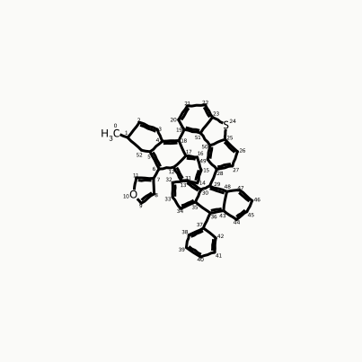 CC1C=Cc2c(c(-c3ccoc3)c3ccccc3c2-c2cccc3sc4ccc(-c5c6ccccc6c(-c6ccccc6)c6ccccc56)cc4c23)C1